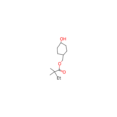 CCC(C)(C)C(=O)OCC1CCC(O)CC1